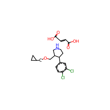 Clc1ccc(C2CCNCC2COCC2CC2)cc1Cl.O=C(O)C=CC(=O)O